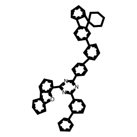 c1ccc(-c2cccc(-c3nc(-c4ccc(-c5cccc(-c6ccc7c(c6)C6(CCCCC6)c6ccccc6-7)c5)cc4)nc(-c4cccc5c4oc4ccccc45)n3)c2)cc1